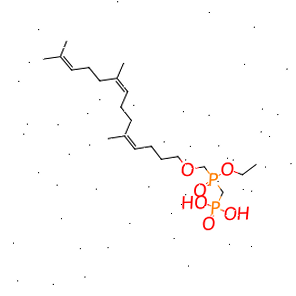 CCOP(=O)(COCCCC=C(C)CCC=C(C)CCC=C(C)C)CP(=O)(O)O